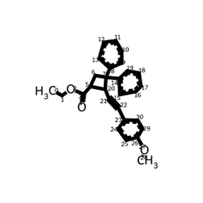 CCOC(=O)C1CC(c2ccccc2)(c2ccccc2)C1C#Cc1ccc(OC)cc1